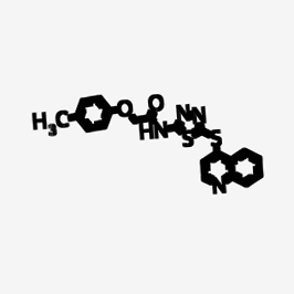 Cc1ccc(OCC(=O)Nc2nnc(Sc3ccnc4ccccc34)s2)cc1